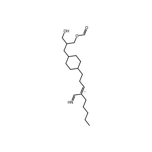 CCCCC/C(C=N)=C/CCC1CCC(CC(CO)COC=O)CC1